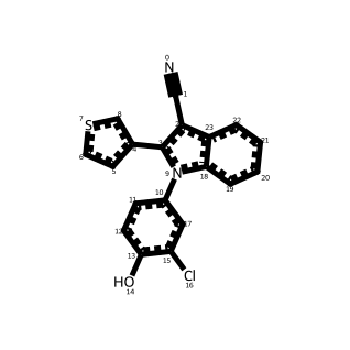 N#Cc1c(-c2ccsc2)n(-c2ccc(O)c(Cl)c2)c2ccccc12